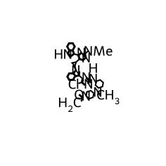 C=CC(=O)N1CCC(N(C)[C@H]2CCC[C@@H](Nc3ncc(Cl)c(-c4cn(C5CC5c5cnc(NC)nc5-c5c[nH]c6ccccc56)c5ccccc45)n3)C2)CC1